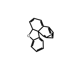 C1=CC2Oc3ccccc3C23C=C2C=CC(=N2)C3=C1